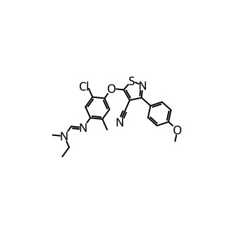 CCN(C)C=Nc1cc(Cl)c(Oc2snc(-c3ccc(OC)cc3)c2C#N)cc1C